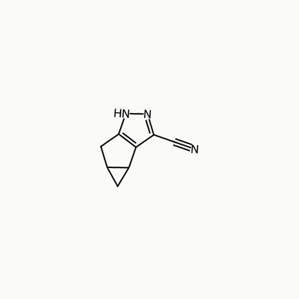 N#Cc1n[nH]c2c1C1CC1C2